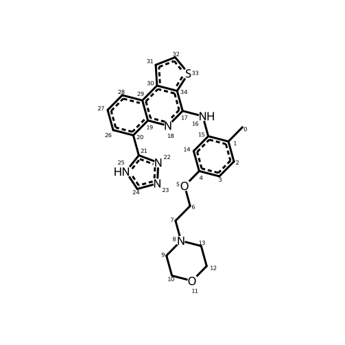 Cc1ccc(OCCN2CCOCC2)cc1Nc1nc2c(-c3nnc[nH]3)cccc2c2ccsc12